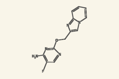 Nc1nc(OCc2cn3ccccc3n2)ncc1F